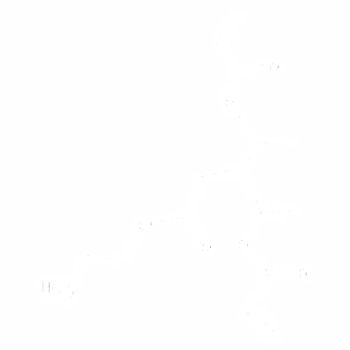 C=CC(=O)OC(C)C(CC(=O)OCCS(=O)(=O)O)C(C)OC(=O)C=C